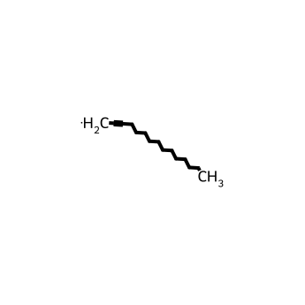 [CH2]C#CCCCCCCCCCCCC